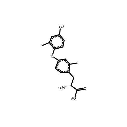 N[C@H](Cc1ccc(Oc2ccc(O)cc2I)cc1I)C(=O)O